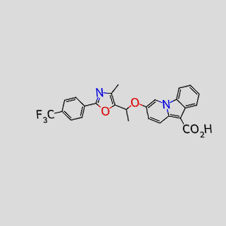 Cc1nc(-c2ccc(C(F)(F)F)cc2)oc1C(C)Oc1ccc2c(C(=O)O)c3ccccc3n2c1